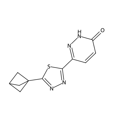 O=c1ccc(-c2nnc(C34CC(C3)C4)s2)n[nH]1